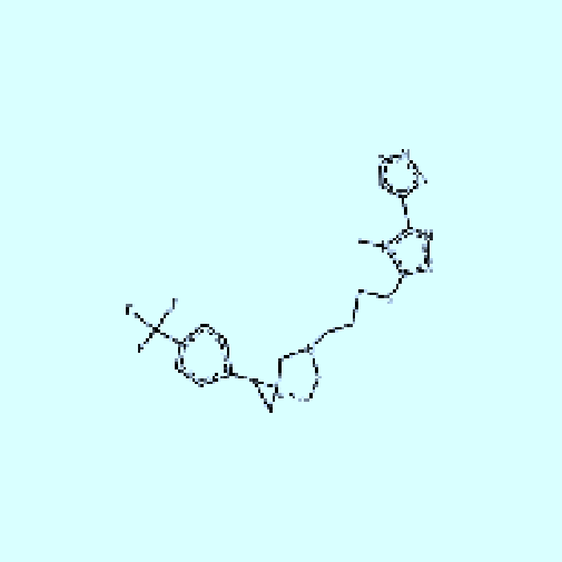 Cn1c(SCCCN2CC[C@@]3(CC3c3ccc(C(F)(F)F)cc3)C2)nnc1-c1csnn1